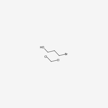 ClCCl.OCCCBr